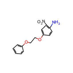 Nc1ccc(OCCOc2ccccc2)cc1[N+](=O)[O-]